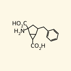 NC1(C(=O)O)CC(Cc2ccccc2)C2C(C(=O)O)C21